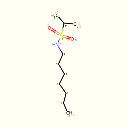 CCCCCCCNS(=O)(=O)C(C)C